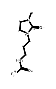 CN1CCN(CCCNC(=O)C(F)(F)F)C1=O